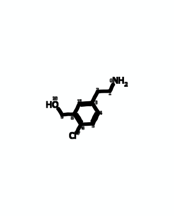 NCCc1ccc(Cl)c(CO)c1